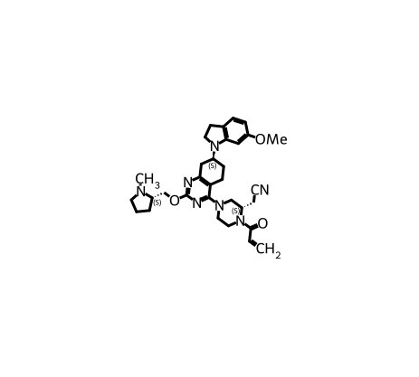 C=CC(=O)N1CCN(c2nc(OC[C@@H]3CCCN3C)nc3c2CC[C@H](N2CCc4ccc(OC)cc42)C3)C[C@@H]1CC#N